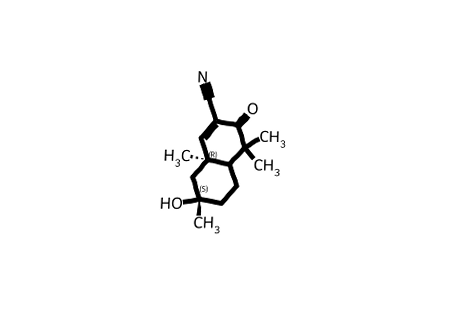 CC1(C)C(=O)C(C#N)=C[C@]2(C)C[C@@](C)(O)CCC12